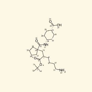 CC(C)(C)OC(=O)C(CCCCN)CC1(C(=O)N[C@H]2CC[C@@H](C(=O)O)CC2)CCCC1